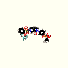 O=C1N(c2ccc(OS(=O)(=O)C3CC3)cc2)CCC12CCN(S(=O)(=O)c1ccccc1OC(F)(F)F)CC2